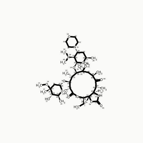 CC[C@H]1OC(=O)[C@H](C)[C@@H](O[C@H]2C[C@@](C)(OC)[C@@H](O)[C@H](C)O2)[C@H](C)[C@@H](O[C@@H]2O[C@H](C)C[C@@H](N3CCOCC3)[C@@H]2N(C)C)[C@@](C)(OC)C[C@@H](C)C(=O)[C@H](C)[C@H]2NC(=O)O[C@@]21C